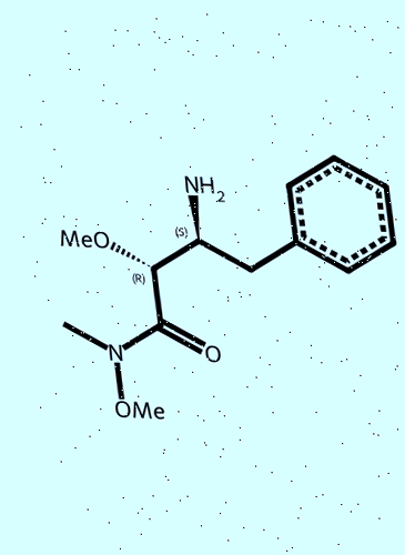 CO[C@@H](C(=O)N(C)OC)[C@@H](N)Cc1ccccc1